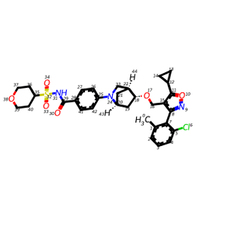 Cc1cccc(Cl)c1-c1noc(C2CC2)c1CO[C@@H]1C[C@@H]2C[C@H]1CN2c1ccc(C(=O)NS(=O)(=O)C2CCOCC2)cc1